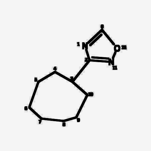 [c]1nc(C2CCCCCCC2)no1